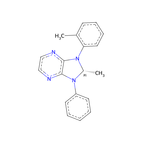 Cc1ccccc1N1c2nccnc2N(c2ccccc2)[C@H]1C